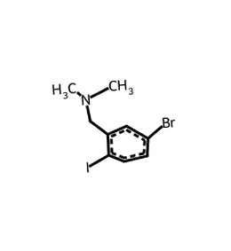 CN(C)Cc1cc(Br)ccc1I